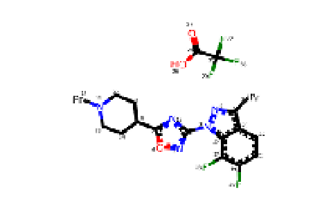 CC(C)c1nn(-c2noc(C3CCN(C(C)C)CC3)n2)c2c(F)c(F)ccc12.O=C(O)C(F)(F)F